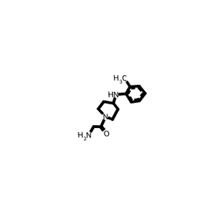 Cc1ccccc1NC1CCN(C(=O)CN)CC1